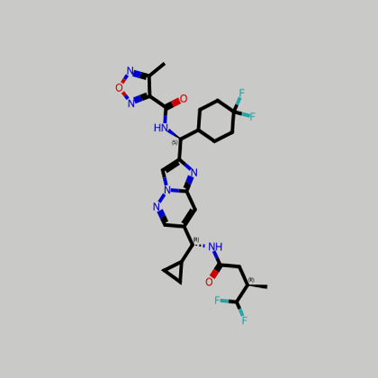 Cc1nonc1C(=O)N[C@H](c1cn2ncc([C@H](NC(=O)C[C@@H](C)C(F)F)C3CC3)cc2n1)C1CCC(F)(F)CC1